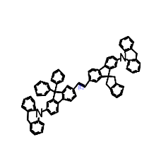 C(=C\c1ccc2c(c1)C(c1ccccc1)(c1ccccc1)c1cc(N3c4ccccc4Cc4ccccc43)ccc1-2)/c1ccc2c(c1)C1(Cc3ccccc3C1)c1cc(N3c4ccccc4Cc4ccccc43)ccc1-2